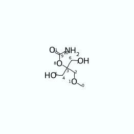 COCC(CO)(CO)OC(N)=O